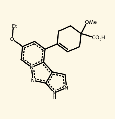 CCOc1cc(C2=CCC(OC)(C(=O)O)CC2)c2c3cn[nH]c3nn2c1